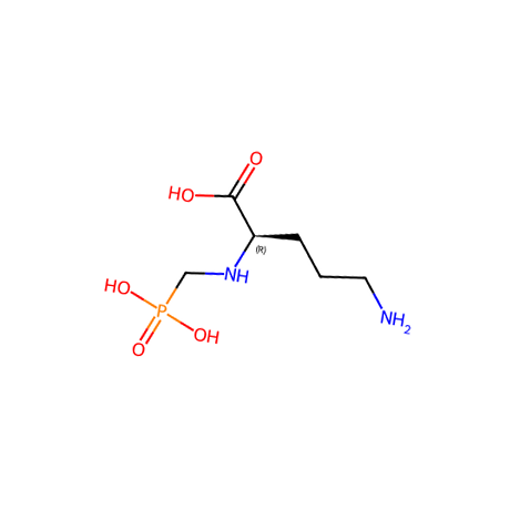 NCCC[C@@H](NCP(=O)(O)O)C(=O)O